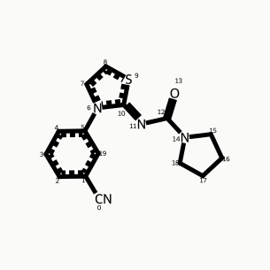 N#Cc1cccc(-n2ccsc2=NC(=O)N2CCCC2)c1